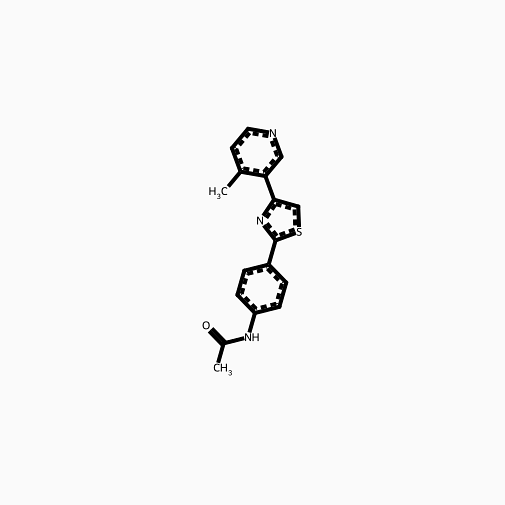 CC(=O)Nc1ccc(-c2nc(-c3cnccc3C)cs2)cc1